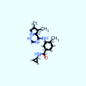 CCc1cn2ncnc(Nc3cc(C(=O)NC4CC4)ccc3C)c2c1C